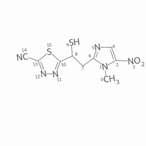 Cn1c([N+](=O)[O-])cnc1CC(S)c1nnc(C#N)s1